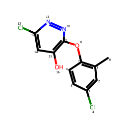 Cc1cc(Cl)ccc1Oc1nnc(Cl)cc1O